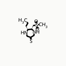 CCC[C@H]1NCC(=S)CN[C@H]1CS(C)(=O)=O